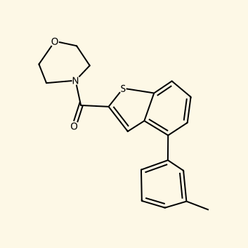 Cc1cccc(-c2cccc3sc(C(=O)N4CCOCC4)cc23)c1